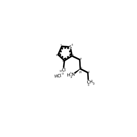 CC[C@@H](N)Cc1sccc1Cl.Cl